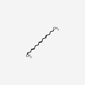 C=CCC=CCCC=CCC=CCCCC